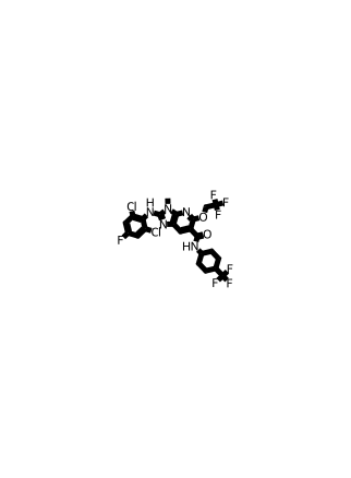 Cn1c(Nc2c(Cl)cc(F)cc2Cl)nc2cc(C(=O)NC3CCC(C(F)(F)F)CC3)c(OCC(F)(F)F)nc21